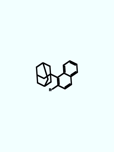 Brc1ccc2ccccc2c1C12CC3CC(CC(C3)C1)C2